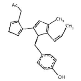 C/C=C\C1=C(C)C=C(C2=CCC=C2CC(C)=O)C1Cc1ccc(O)cc1